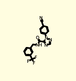 N#Cc1ccc(-n2ncnc2C(=O)NCc2cccc(C(F)(F)F)c2)cc1